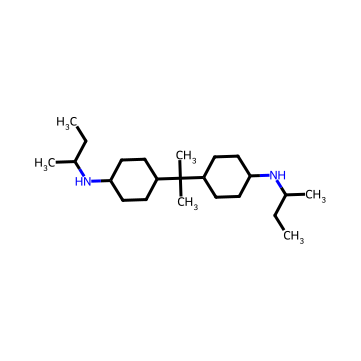 CCC(C)NC1CCC(C(C)(C)C2CCC(NC(C)CC)CC2)CC1